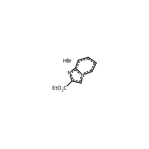 Br.CCOC(=O)c1cn2ccccc2n1